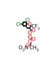 CC(COC(=O)OCOC(=O)C1=Cc2cc(Cl)cc(Cl)c2O[C@@H]1C(F)(F)F)O[N+](=O)[O-]